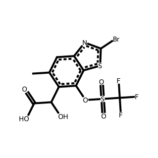 Cc1cc2nc(Br)sc2c(OS(=O)(=O)C(F)(F)F)c1C(O)C(=O)O